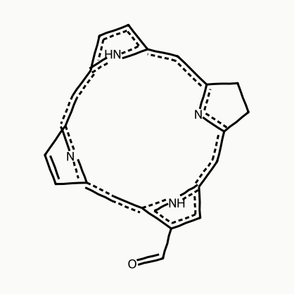 O=Cc1cc2cc3nc(cc4ccc(cc5nc(cc1[nH]2)C=C5)[nH]4)CC3